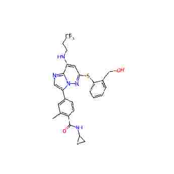 Cc1cc(-c2cnc3c(NCCC(F)(F)F)cc(Sc4ccccc4CO)nn23)ccc1C(=O)NC1CC1